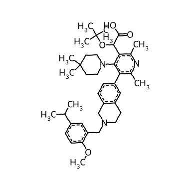 COc1ccc(C(C)C)cc1CN1CCc2cc(-c3c(C)nc(C)c(C(OC(C)(C)C)C(=O)O)c3N3CCC(C)(C)CC3)ccc2C1